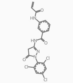 C=CC(=O)Nc1cccc(C(=O)NC2=NN(c3c(Cl)cc(Cl)cc3Cl)C(=O)C2)c1